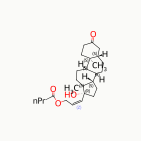 CCCC(=O)OC/C=C\[C@]1(O)CC[C@H]2[C@@H]3CC[C@H]4CC(=O)CC[C@]4(C)[C@H]3CC[C@@]21C